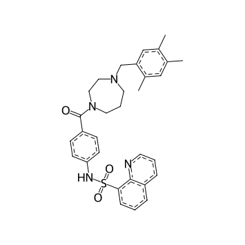 Cc1cc(C)c(CN2CCCN(C(=O)c3ccc(NS(=O)(=O)c4cccc5cccnc45)cc3)CC2)cc1C